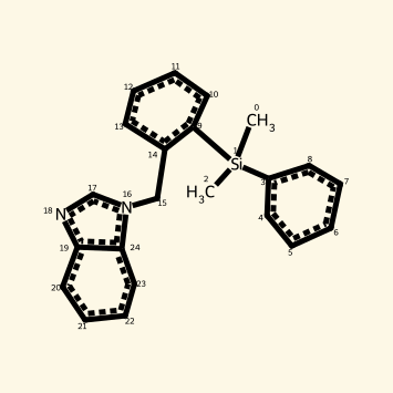 C[Si](C)(c1ccccc1)c1ccccc1Cn1cnc2ccccc21